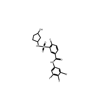 O=C(Nc1cc(F)c(F)c(F)c1)c1ccc(F)c(S(=O)(=O)NC2CCC(O)C2)c1